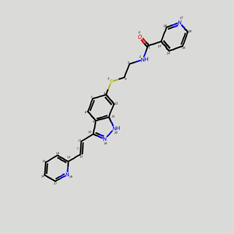 O=C(NCCSc1ccc2c(/C=C/c3ccccn3)n[nH]c2c1)c1cccnc1